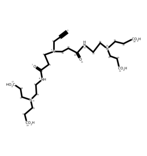 C#CCN(CCC(=O)NCCN(CCC(=O)O)CCC(=O)O)CCC(=O)NCCN(CCC(=O)O)CCC(=O)O